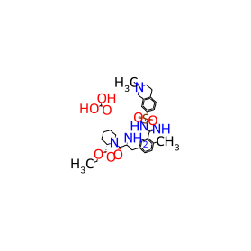 CCOC(=O)[C@@H]1CCCCN1C(=O)[C@H](N)Cc1ccc(C)c(C(=N)NS(=O)(=O)c2ccc3c(c2)CN(C)CC3)c1.O=C(O)O